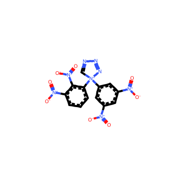 O=[N+]([O-])c1cc([N+](=O)[O-])cc([N+]2(c3cccc([N+](=O)[O-])c3[N+](=O)[O-])C=NN=N2)c1